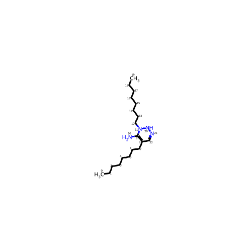 CCCCCCCCC1=C(N)N(CCCCCCCC)NN=C1